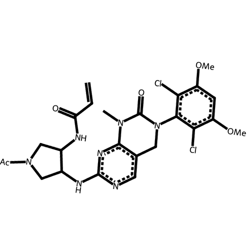 C=CC(=O)NC1CN(C(C)=O)CC1Nc1ncc2c(n1)N(C)C(=O)N(c1c(Cl)c(OC)cc(OC)c1Cl)C2